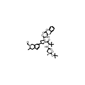 CC1Cc2ccc(C3C[C@@H](C(=O)N[C@@H](Cc4ccccc4)C(=O)O)N(C(=O)[C@@H](NC(=O)CN(C)C(=O)OC(C)(C)C)C(C)(C)C)C3)cc2CN1C=O